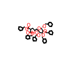 O=C(OCc1ccccc1)C(CCCC1(O)O[C@H](COCc2ccccc2)[C@@H](OCc2ccccc2)[C@H](OCc2ccccc2)[C@@H]1OCc1ccccc1)C(=O)OCc1ccccc1